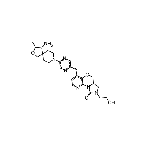 C[C@@H]1OCC2(CCN(c3cnc(Sc4ccnc5c4OCC4CN(CCO)C(=O)N54)cn3)CC2)[C@@H]1N